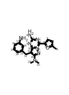 Cc1ccc(-c2nc(N)nc3c(Cc4cccc(N)c4)c(N(C)C)nn23)o1